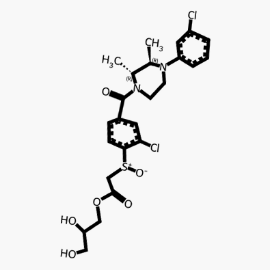 C[C@@H]1[C@@H](C)N(c2cccc(Cl)c2)CCN1C(=O)c1ccc([S+]([O-])CC(=O)OCC(O)CO)c(Cl)c1